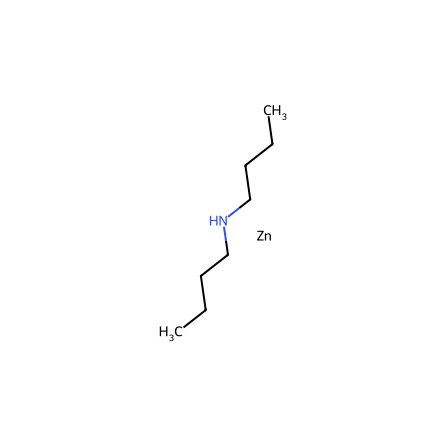 CCCCNCCCC.[Zn]